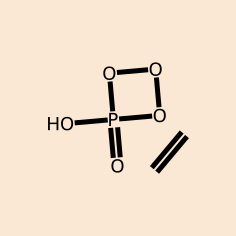 C=C.O=P1(O)OOO1